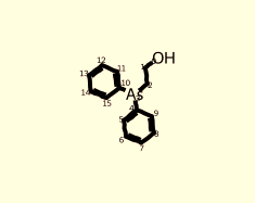 OCC[As](c1ccccc1)c1ccccc1